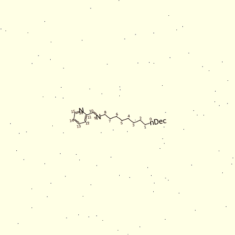 CCCCCCCCCCCCCCCCCCN=Cc1ccccn1